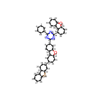 c1ccc(-c2nc(-c3ccc4c(c3)oc3ccc(-c5ccc6c(c5)sc5ccccc56)cc34)nc(-c3cccc4oc5ccccc5c34)n2)cc1